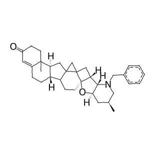 C[C@H]1C[C@H]2O[C@@]34CCC5[C@@H]6CCC7=CC(=O)CCC7(C)[C@H]6CC56CC63C[C@@H]4[C@@H]2N(Cc2ccccc2)C1